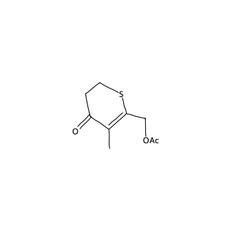 CC(=O)OCC1=C(C)C(=O)CCS1